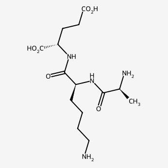 C[C@H](N)C(=O)N[C@@H](CCCCN)C(=O)N[C@@H](CCC(=O)O)C(=O)O